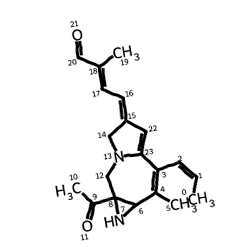 C/C=C\C1=C(C)C2NC2(C(C)=O)CN2C/C(=C\C=C(/C)C=O)C=C12